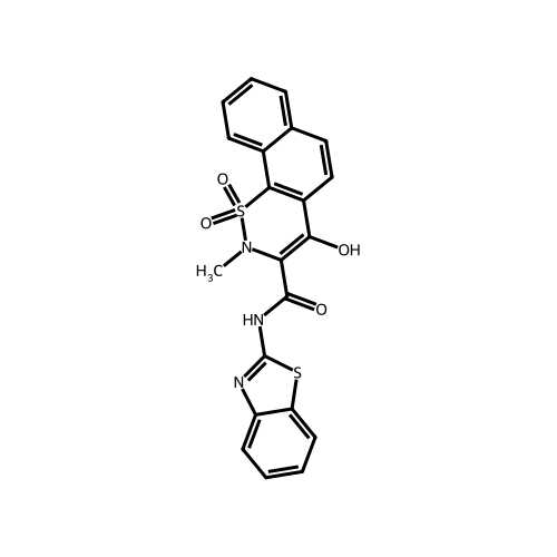 CN1C(C(=O)Nc2nc3ccccc3s2)=C(O)c2ccc3ccccc3c2S1(=O)=O